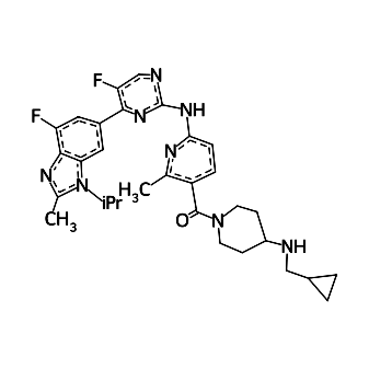 Cc1nc(Nc2ncc(F)c(-c3cc(F)c4nc(C)n(C(C)C)c4c3)n2)ccc1C(=O)N1CCC(NCC2CC2)CC1